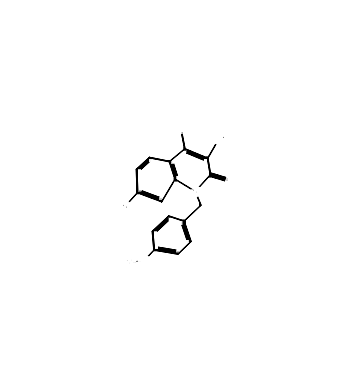 COc1ccc(Cn2c(=O)c(C#N)c(Cl)c3ccc([N+](=O)[O-])cc32)cc1